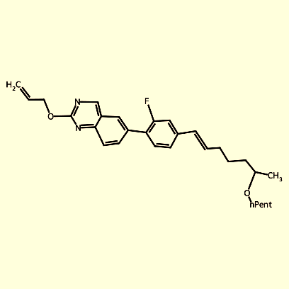 C=CCOc1ncc2cc(-c3ccc(C=CCCCC(C)OCCCCC)cc3F)ccc2n1